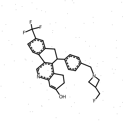 OC1=Cc2ncc3c(c2CC1)C(c1ccc(CN2CC(CF)C2)cc1)Cc1cc(C(F)(F)F)ccc1-3